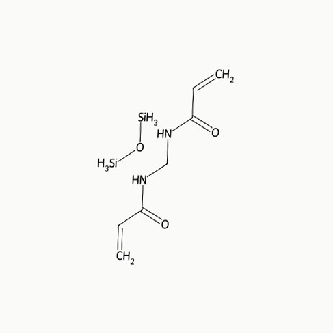 C=CC(=O)NCNC(=O)C=C.[SiH3]O[SiH3]